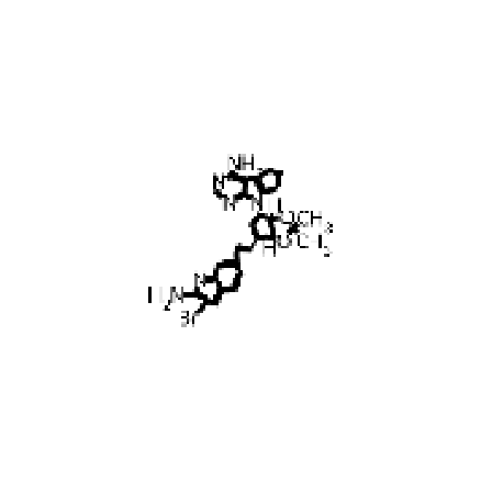 CC1(C)O[C@@H]2[C@H](O1)[C@@H](/C=C/c1ccc3cc(Br)c(N)nc3c1)C[C@H]2n1c2c(c3c(N)ncnc31)CCC2